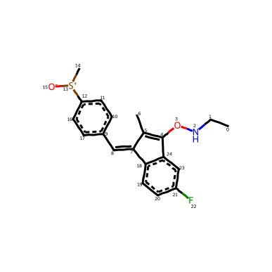 CCNOC1=C(C)/C(=C\c2ccc([S+](C)[O-])cc2)c2ccc(F)cc21